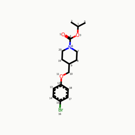 CC(C)OC(=O)N1CCC(COc2ccc(Br)cc2)CC1